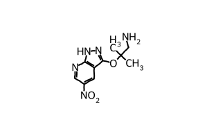 CC(C)(CN)Oc1n[nH]c2ncc([N+](=O)[O-])cc12